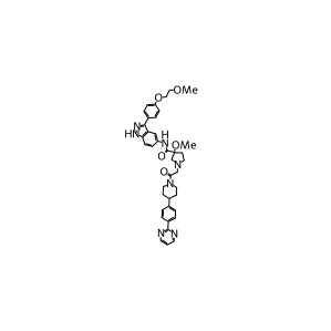 COCCOc1ccc(-c2n[nH]c3ccc(NC(=O)[C@]4(OC)CCN(CC(=O)N5CCC(c6ccc(-c7ncccn7)cc6)CC5)C4)cc23)cc1